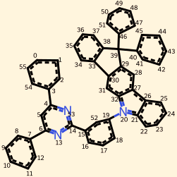 c1ccc(-c2cc(-c3ccccc3)nc(-c3cccc(-n4c5ccccc5c5cc6c(cc54)-c4ccccc4C6(c4ccccc4)c4ccccc4)c3)n2)cc1